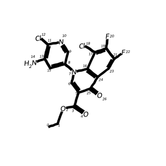 CCOC(=O)c1cn(-c2cnc(Cl)c(N)c2)c2c(Cl)c(F)c(F)cc2c1=O